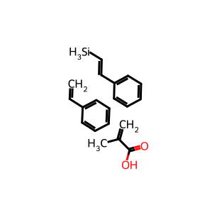 C=C(C)C(=O)O.C=Cc1ccccc1.[SiH3]C=Cc1ccccc1